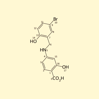 O=C(O)c1ccc(NCc2cc(Br)ccc2O)cc1O